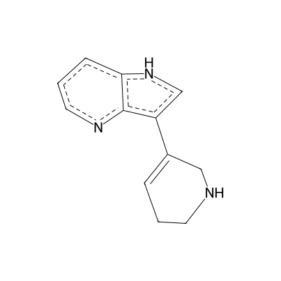 C1=C(c2c[nH]c3cccnc23)CNCC1